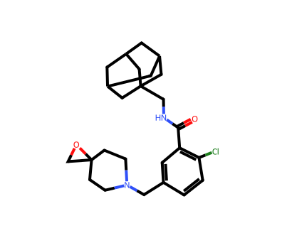 O=C(NCC12CC3CC(CC(C3)C1)C2)c1cc(CN2CCC3(CC2)CO3)ccc1Cl